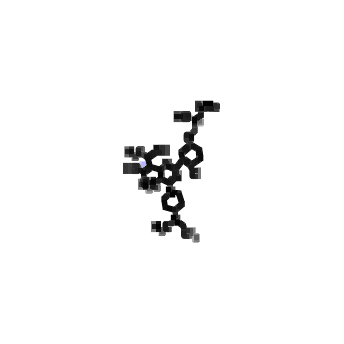 CNC[C@@H](O)COc1ccc(Cl)c(-c2nc(/C(C(C)=N)=C(\C)O)c(C)c(N3CCC(N(C)CC(F)(F)F)CC3)n2)c1